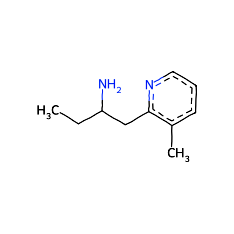 CCC(N)Cc1ncccc1C